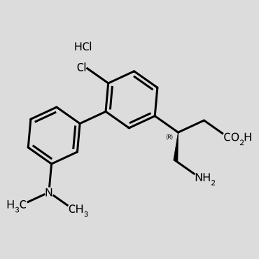 CN(C)c1cccc(-c2cc([C@H](CN)CC(=O)O)ccc2Cl)c1.Cl